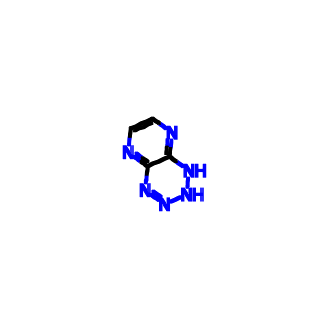 c1cnc2c(n1)N=NNN2